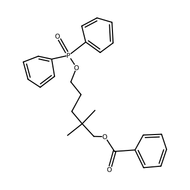 CC(C)(CCCOP(=O)(c1ccccc1)c1ccccc1)COC(=O)c1ccccc1